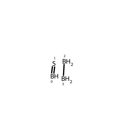 B=S.BB